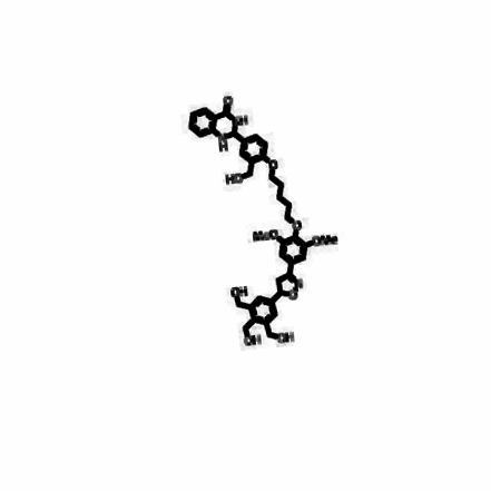 COc1cc(C2=NOC(c3cc(CO)c(CO)c(CO)c3)C2)cc(OC)c1OCCCCCOc1ccc(C2NC(=O)c3ccccc3N2)cc1CO